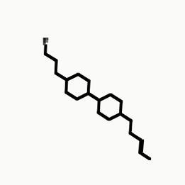 CC=CCCC1CCC(C2CCC(CCCF)CC2)CC1